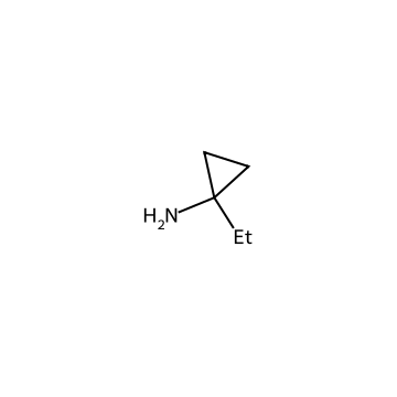 [CH2]CC1(N)CC1